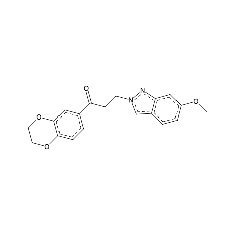 COc1ccc2cn(CCC(=O)c3ccc4c(c3)OCCO4)nc2c1